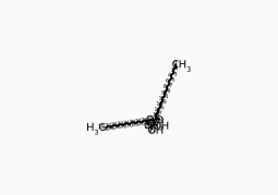 CCCCCCCCCCCCCCCCCC=CC(=O)C(OC(=O)CCCCCCCCCCCCCCC)C(O)CO